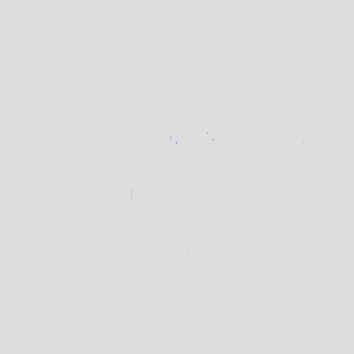 CC(C)c1nn(Cc2ccccc2)c(Cl)c1C=O